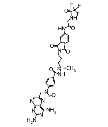 C[C@H](CCCN1C(=O)c2ccc(NC(=O)CNC(=O)C(F)(F)F)cc2C1=O)NC(=O)c1ccc(N(C=O)Cc2cnc3nc(N)nc(N)c3n2)cc1